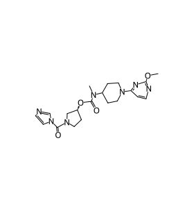 COc1nccc(N2CCC(N(C)C(=O)O[C@H]3CCN(C(=O)n4ccnc4)C3)CC2)n1